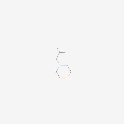 CCCCC(CN1CCOCC1)OC(C)=O